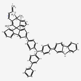 C=C/C=C\C1=C(C)C2(c3ccccc3-c3cc(-c4ccc(N(c5ccc(-c6ccccc6)cc5)c5ccc(-c6ccc7c(c6)oc6ccccc67)cc5)cc4)ccc32)c2ccccc2C1(C)C